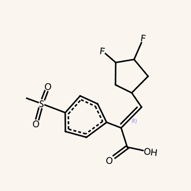 CS(=O)(=O)c1ccc(/C(=C\C2CC(F)C(F)C2)C(=O)O)cc1